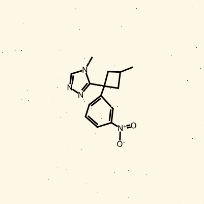 CC1CC(c2cccc([N+](=O)[O-])c2)(c2nncn2C)C1